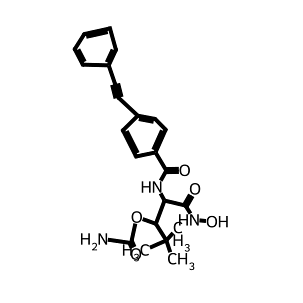 CC(C)(C)C(OC(N)=O)C(NC(=O)c1ccc(C#Cc2ccccc2)cc1)C(=O)NO